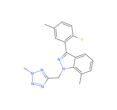 Cc1ccc(F)c(-c2nn(Cc3nnn(C)n3)c3c(C)cccc23)c1